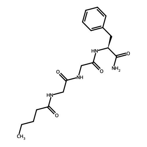 CCCCC(=O)NCC(=O)NCC(=O)N[C@@H](Cc1ccccc1)C(N)=O